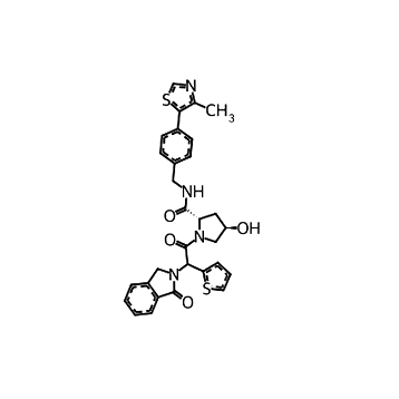 Cc1ncsc1-c1ccc(CNC(=O)[C@@H]2C[C@@H](O)CN2C(=O)C(c2cccs2)N2Cc3ccccc3C2=O)cc1